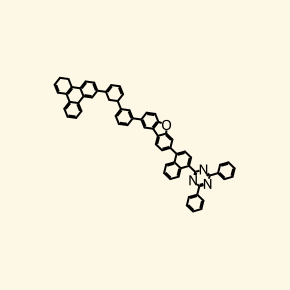 C1=CC(c2cccc(-c3ccc4oc5cc(-c6ccc(-c7nc(-c8ccccc8)nc(-c8ccccc8)n7)c7ccccc67)ccc5c4c3)c2)CC(c2ccc3c4c(c5ccccc5c3c2)C=CCC4)=C1